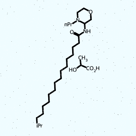 CC(O)C(=O)O.CCCN1CCOCC1NC(=O)CCCCCCCCCCCCCCC(C)C